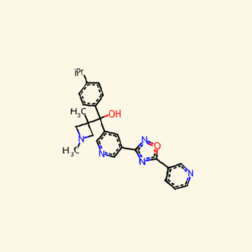 CC(C)c1ccc(C(O)(c2cncc(-c3noc(-c4cccnc4)n3)c2)C2(C)CN(C)C2)cc1